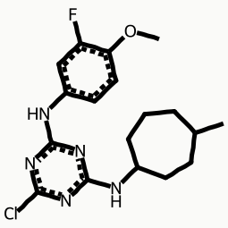 COc1ccc(Nc2nc(Cl)nc(NC3CCCC(C)CC3)n2)cc1F